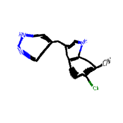 N#Cc1c(Cl)ccc2c(-c3cn[nH]c3)c[nH]c12